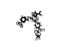 CC(C)c1cnn2c(NCc3cccc([N+](=O)[O-])c3)nc(N3CCC(NC(=O)OC(C)(C)C)CC3)nc12